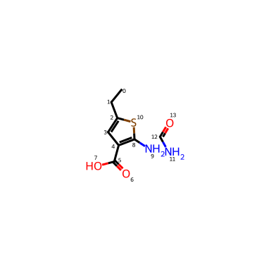 CCc1cc(C(=O)O)c(N)s1.NC=O